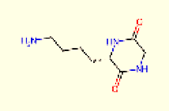 NCCCC[C@@H]1NC(=O)CNC1=O